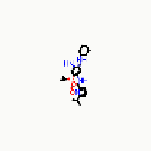 CO[n+]1c(C(=O)NC2=C/C(=C/NC3CCCCC3)C(=N)C=C2OC2CC2)cccc1C(C)C